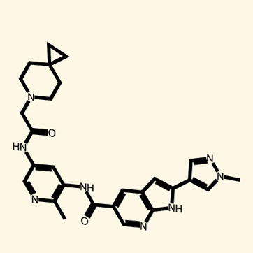 Cc1ncc(NC(=O)CN2CCC3(CC2)CC3)cc1NC(=O)c1cnc2[nH]c(-c3cnn(C)c3)cc2c1